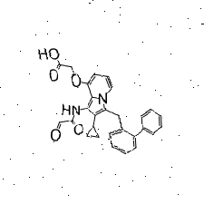 O=CC(=O)Nc1c(C2CC2)c(Cc2ccccc2-c2ccccc2)n2cccc(OCC(=O)O)c12